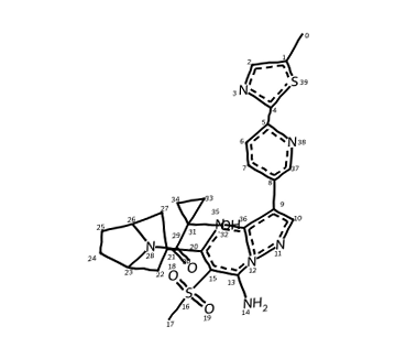 Cc1cnc(-c2ccc(-c3cnn4c(N)c(S(C)(=O)=O)c(C5CC6CCC(C5)N6C(=O)C5(O)CC5)nc34)cn2)s1